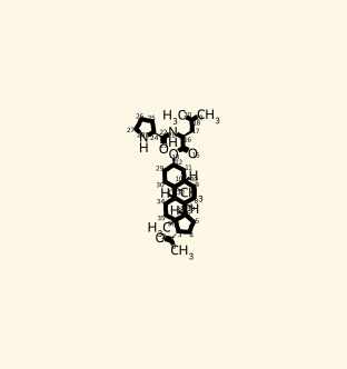 CC(=O)[C@H]1CC[C@H]2[C@@H]3CC[C@H]4C[C@H](OC(=O)[C@H](CC(C)C)NC(=O)[C@@H]5CCCN5)CC[C@]4(C)[C@H]3CC[C@]12C